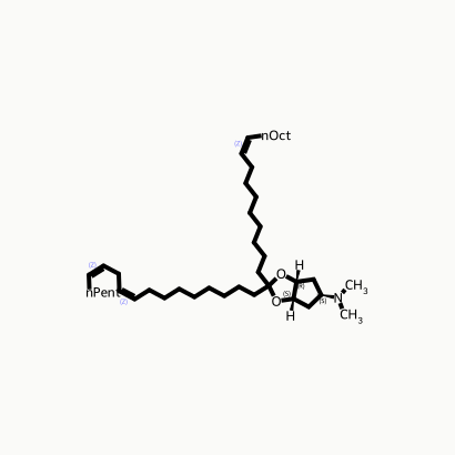 CCCCC/C=C\C/C=C\CCCCCCCCC1(CCCCCCCC/C=C\CCCCCCCC)O[C@H]2C[C@H](N(C)C)C[C@H]2O1